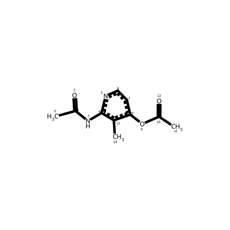 CC(=O)Nc1nccc(OC(C)=O)c1C